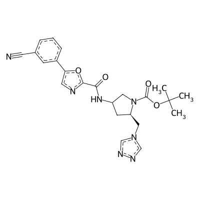 CC(C)(C)OC(=O)N1CC(NC(=O)c2ncc(-c3cccc(C#N)c3)o2)C[C@@H]1Cn1cnnc1